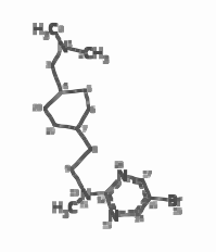 CN(C)CC1CCC(CCN(C)c2ncc(Br)cn2)CC1